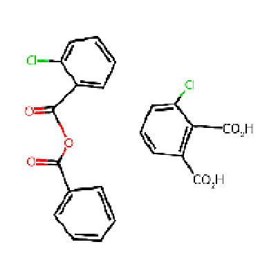 O=C(O)c1cccc(Cl)c1C(=O)O.O=C(OC(=O)c1ccccc1Cl)c1ccccc1